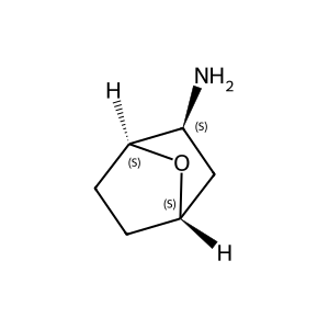 N[C@H]1C[C@@H]2CC[C@@H]1O2